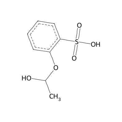 CC(O)Oc1ccccc1S(=O)(=O)O